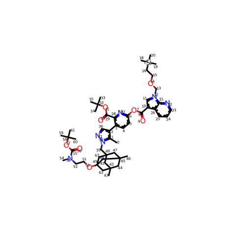 Cc1c(-c2ccc(OC(=O)c3cn(COCC[Si](C)(C)C)c4ncccc34)nc2C(=O)OC(C)(C)C)cnn1CC12CC3(C)CC(C)(C1)CC(OCCN(C)C(=O)OC(C)(C)C)(C3)C2